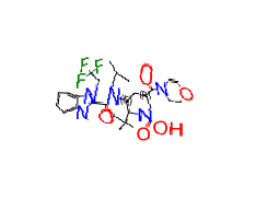 CC(C)CN(C(=O)c1nc2ccccc2n1CC(F)(F)F)[C@H]1C[C@@H](C(=O)N2CCOCC2)CN(C(=O)O)C1C(C)(C)C